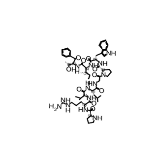 CC[C@H](C)[C@H](NC(=O)[C@H](Cc1c[nH]c2ccccc12)NC(=O)[C@@H]1CCCN1C(=O)CNC(=O)[C@H](CC(C)C)NC(=O)[C@@H](NC(=O)[C@H](CCCNC(=N)N)NC(=O)[C@@H]1CCCN1)C(C)C)C(=O)N[C@H](C(=O)c1ccccc1)[C@@H](C)O